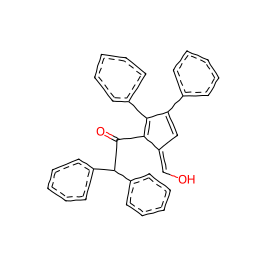 O=C(C1=C(c2ccccc2)C(c2ccccc2)=CC1=CO)C(c1ccccc1)c1ccccc1